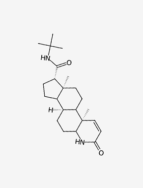 CC(C)(C)NC(=O)[C@H]1CCC2[C@@H]3CCC4NC(=O)C=C[C@]4(C)C3CC[C@@]21C